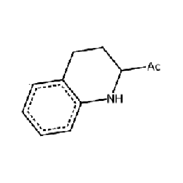 CC(=O)C1CCc2[c]cccc2N1